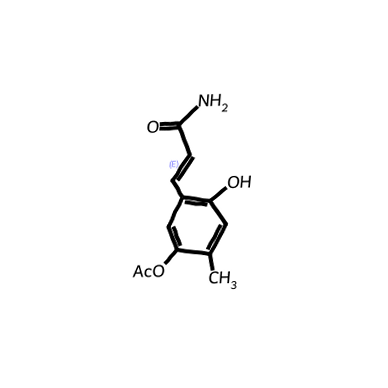 CC(=O)Oc1cc(/C=C/C(N)=O)c(O)cc1C